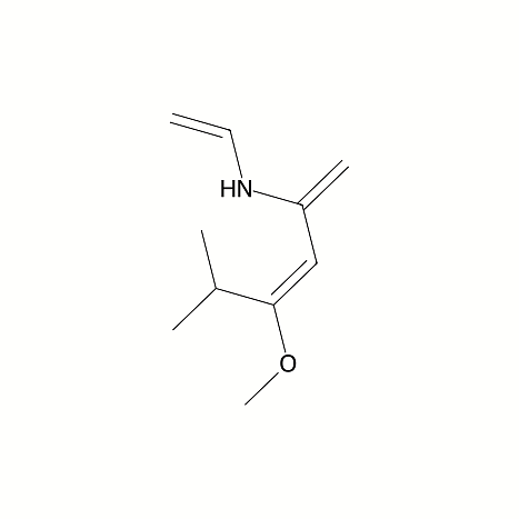 C=CNC(=C)/C=C(/OC)C(C)C